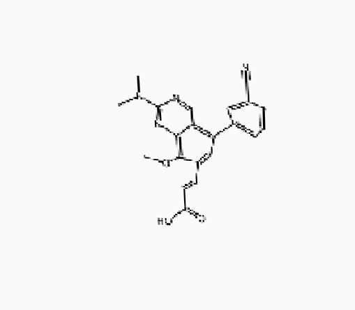 COc1c(C=CC(=O)O)cc(-c2cccc(C#N)c2)c2cnc(N(C)C)nc12